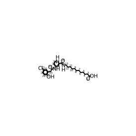 O=C(O)CCCCCCCCCCCNC(=O)C1=CC(NC(=O)Cc2cc(Cl)ccc2O)=CCN1